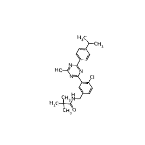 CC(C)c1ccc(-c2nc(O)nc(-c3cc(CNC(=O)C(C)(C)C)ccc3Cl)n2)cc1